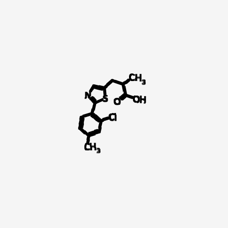 Cc1ccc(-c2ncc(CC(C)C(=O)O)s2)c(Cl)c1